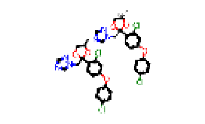 CC1COC(Cn2cncn2)(c2ccc(Oc3ccc(Cl)cc3)cc2Cl)O1.C[C@H]1CO[C@](Cn2cncn2)(c2ccc(Oc3ccc(Cl)cc3)cc2Cl)O1